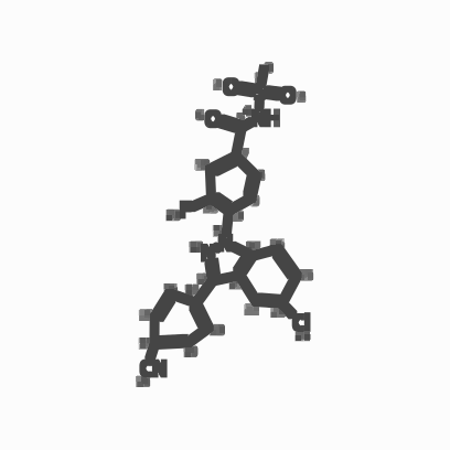 CS(=O)(=O)NC(=O)c1ccc(-n2nc(-c3ccc(C#N)cc3)c3cc(Cl)ccc32)c(F)c1